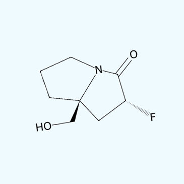 O=C1[C@H](F)C[C@]2(CO)CCCN12